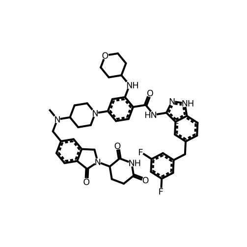 CN(Cc1ccc2c(c1)CN(C1CCC(=O)NC1=O)C2=O)C1CCN(c2ccc(C(=O)Nc3n[nH]c4ccc(Cc5cc(F)cc(F)c5)cc34)c(NC3CCOCC3)c2)CC1